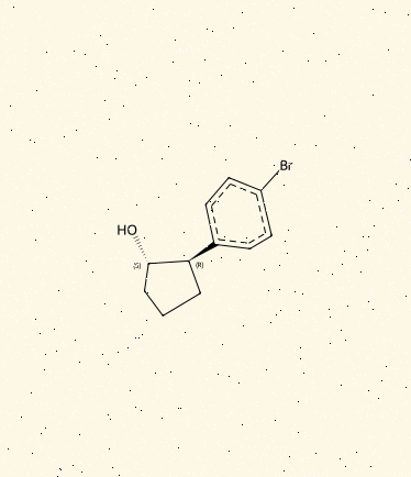 O[C@H]1CCC[C@@H]1c1ccc(Br)cc1